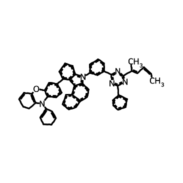 C/C=C\C=C(/C)c1nc(-c2ccccc2)nc(-c2cccc(-n3c4cccc(-c5ccc6c(c5)OC5=C(CCC=C5)N6C5=CCCC=C5)c4c4c5ccccc5ccc43)c2)n1